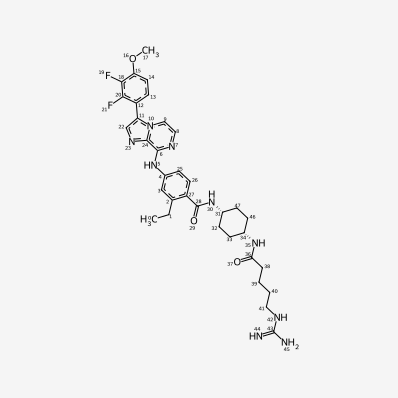 CCc1cc(Nc2nccn3c(-c4ccc(OC)c(F)c4F)cnc23)ccc1C(=O)N[C@H]1CC[C@@H](NC(=O)CCCCNC(=N)N)CC1